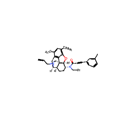 C=CCN1CC[C@]23c4c5c(OC(C)=O)cc(OC)c4O[C@H]2[C@H](N(CC(C)C)C(=O)C#Cc2cccc(C)c2)CC[C@H]3[C@H]1C5